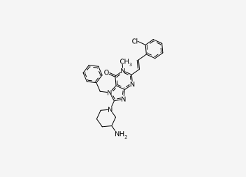 Cn1c(/C=C/c2ccccc2Cl)nc2nc(N3CCCC(N)C3)n(Cc3ccccc3)c2c1=O